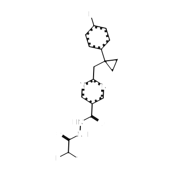 O=C(NNC(=O)C(F)F)c1cnc(CC2(c3ccc(F)cc3)CC2)nc1